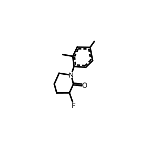 Cc1ccc(N2CCCC(F)C2=O)c(C)c1